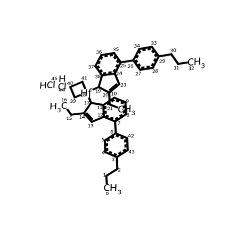 CCCc1ccc(-c2cccc3c2C=C(CC)[CH]3[Hf]2([CH]3C(CC)=Cc4c(-c5ccc(CCC)cc5)cccc43)[CH2]C[CH2]2)cc1.Cl.Cl